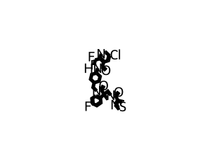 O=C(NC1CCC(CN2C(=O)C3(CN(C(=O)c4cscn4)C3)c3ccc(F)cc32)CC1)c1cc(Cl)cnc1C(F)F